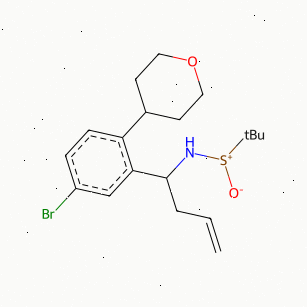 C=CCC(N[S+]([O-])C(C)(C)C)c1cc(Br)ccc1C1CCOCC1